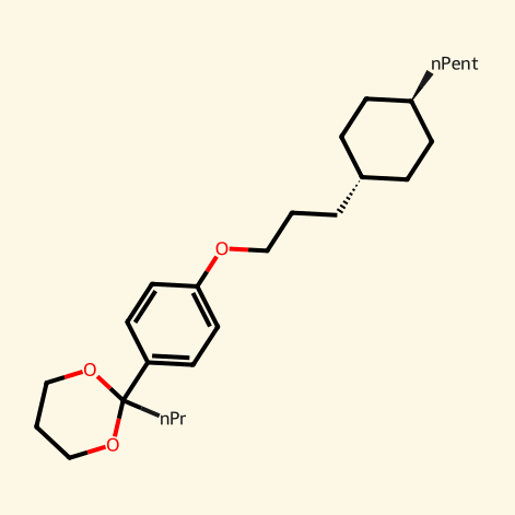 CCCCC[C@H]1CC[C@H](CCCOc2ccc(C3(CCC)OCCCO3)cc2)CC1